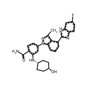 Cc1nn(-c2ccc(C(N)=O)c(N[C@H]3CC[C@H](O)CC3)c2)c2cccc(-c3nc4ccc(F)cc4[nH]3)c12